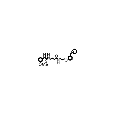 COc1cccc(NC(=S)NCCCC(=O)NCCCOc2cccc(CN3CCCCC3)c2)c1